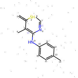 C=C(S)/C(C)=C(\N=C/C)Nc1ccc(C)cc1